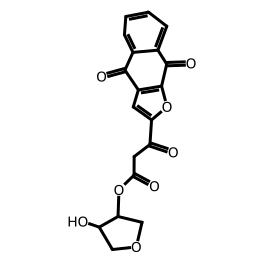 O=C(CC(=O)c1cc2c(o1)C(=O)c1ccccc1C2=O)OC1COCC1O